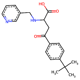 CC(C)(C)c1ccc(C(=O)CC(NCc2cccnc2)C(=O)O)cc1